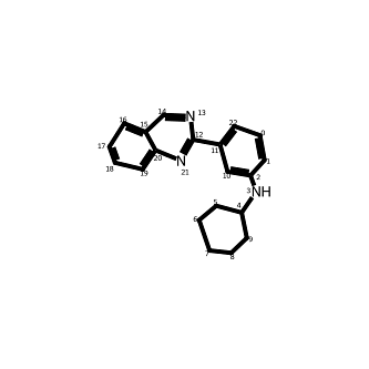 c1cc(NC2CCCCC2)cc(-c2ncc3ccccc3n2)c1